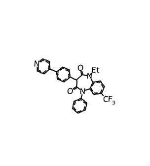 CCN1C(=O)C(c2ccc(-c3ccncc3)cc2)C(=O)N(c2ccccc2)c2cc(C(F)(F)F)ccc21